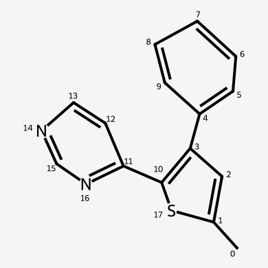 Cc1cc(-c2ccccc2)c(-c2ccncn2)s1